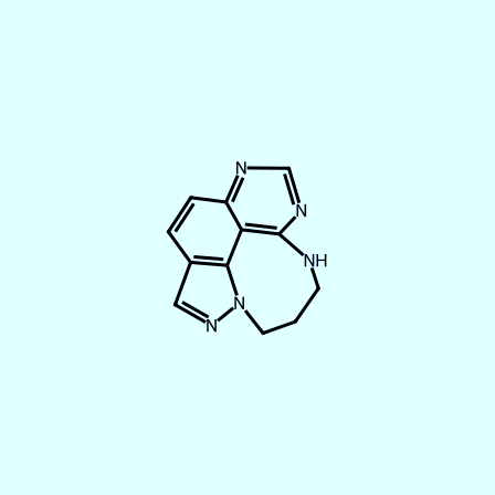 c1nc2c3c(ccc4cnn(c43)CCCN2)n1